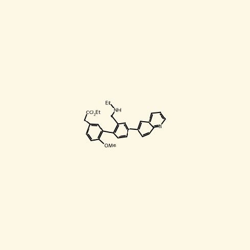 CCNCc1cc(-c2ccc3ncccc3c2)ccc1-c1cc(CC(=O)OCC)ccc1OC